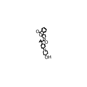 O=C1OC2(CCN(C(=O)C3(c4ccc(N5CCC(O)CC5)cc4)CC3)C2)c2ccccc21